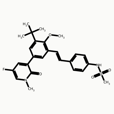 COc1c(C=Cc2ccc(NS(C)(=O)=O)cc2)cc(-c2cc(F)cn(C)c2=O)cc1C(C)(C)C